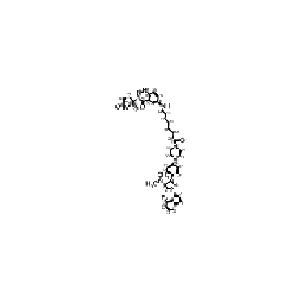 CN(C)[C@H]1CN(C2CCc3cccc(F)c32)C[C@@H]1c1ccc(N2CCN(C(=O)CCCCCCCNc3ccc4nnn(C5CCC(=O)NC5=O)c(=O)c4c3)CC2)cc1